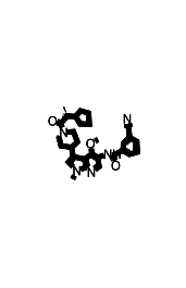 COc1c(NC(=O)c2cccc(C#N)c2)cnc2c1c(C1CCN(C(=O)[C@H](C)C3CCCC3)CC1)cn2C